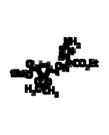 CCOC(=O)C(=NOCc1ccc(C(=O)OC(C)(C)C)c2c1OC(C)(C)O2)c1csc(N)n1